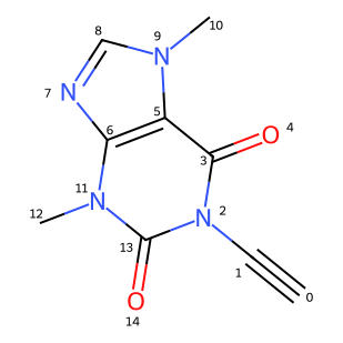 C#Cn1c(=O)c2c(ncn2C)n(C)c1=O